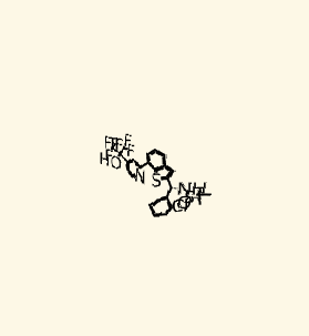 CC(C)(C)[S@+]([O-])N[C@@H](c1cc2cccc(-c3cc(C(O)(C(F)(F)F)C(F)(F)F)ccn3)c2s1)c1ccccc1Cl